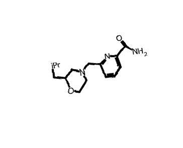 CC(C)CC1CN(Cc2cccc(C(N)=O)n2)CCO1